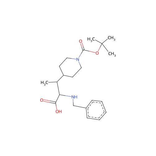 CC(C1CCN(C(=O)OC(C)(C)C)CC1)C(NCc1ccccc1)C(=O)O